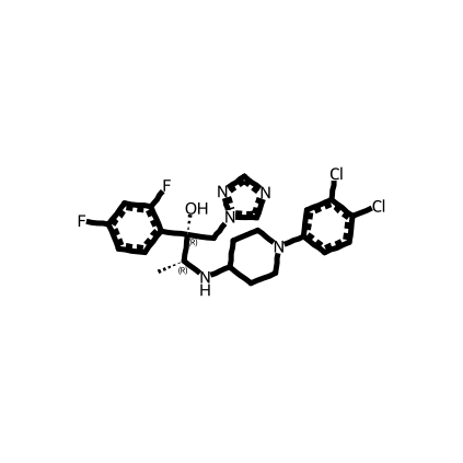 C[C@@H](NC1CCN(c2ccc(Cl)c(Cl)c2)CC1)[C@](O)(Cn1cncn1)c1ccc(F)cc1F